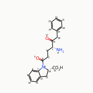 N[C@H](CCC(=O)N1c2ccccc2C[C@H]1C(=O)O)C(=O)Cc1ccccc1